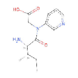 CC[C@H](C)[C@H](N)C(=O)N(CC(=O)O)c1cccnc1